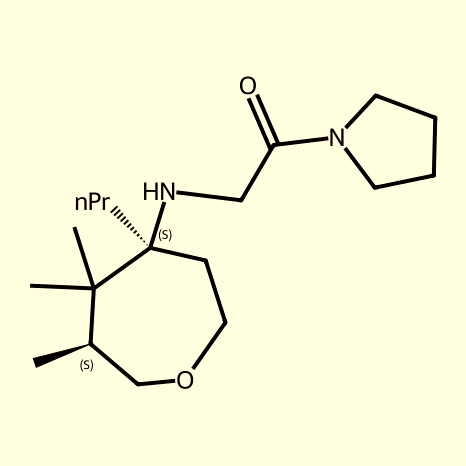 CCC[C@]1(NCC(=O)N2CCCC2)CCOC[C@@H](C)C1(C)C